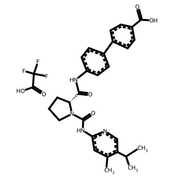 Cc1cc(NC(=O)N2CCC[C@@H]2C(=O)Nc2ccc(-c3ccc(C(=O)O)cc3)cc2)ncc1C(C)C.O=C(O)C(F)(F)F